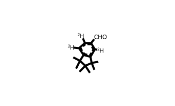 [2H]c1c([2H])c2c(c([2H])c1C=O)C(C)(C)C(C)(C)C2(C)C